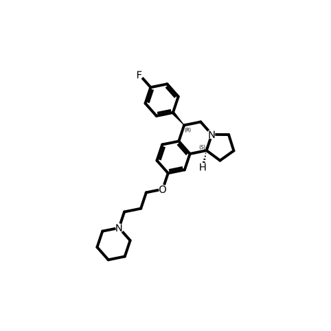 Fc1ccc([C@H]2CN3CCC[C@H]3c3cc(OCCCN4CCCCC4)ccc32)cc1